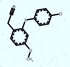 COc1ccc(CC#N)c(Sc2ccc(Cl)cc2)c1